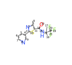 Cc1nc(-c2cccnc2)sc1C(=O)NC(C)(C)C(F)(F)F